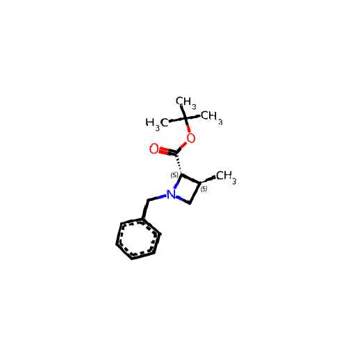 C[C@H]1CN(Cc2ccccc2)[C@@H]1C(=O)OC(C)(C)C